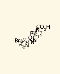 O=C(O)N1CCC[C@](F)(c2nnc(-c3cc(Br)ccn3)o2)C1